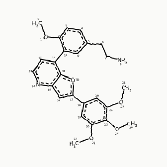 COc1ccc(CCN)cc1-c1ccnc2cc(-c3cc(OC)c(OC)c(OC)c3)oc12